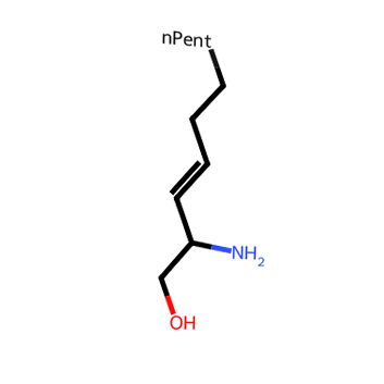 CCCCCCC/C=C/C(N)CO